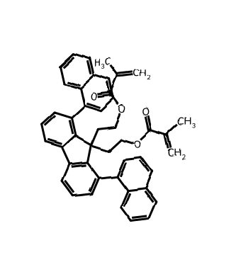 C=C(C)C(=O)OCCC1(CCOC(=O)C(=C)C)c2c(cccc2-c2cccc3ccccc23)-c2cccc(-c3cccc4ccccc34)c21